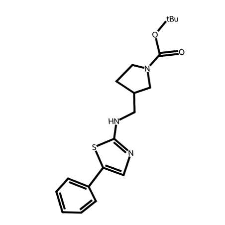 CC(C)(C)OC(=O)N1CCC(CNc2ncc(-c3ccccc3)s2)C1